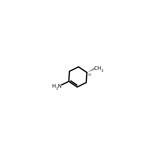 C[C@@H]1CC=C(N)CC1